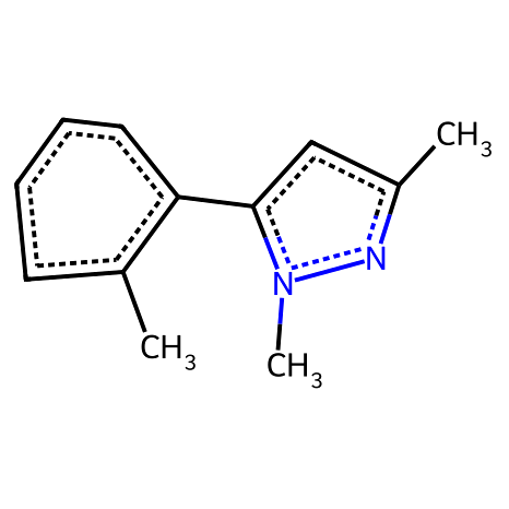 Cc1cc(-c2ccccc2C)n(C)n1